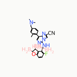 BC1Oc2ccc(F)c(C(B)(B)Nc3ncc(-c4ccc(CN(C)C)cc4C)c4nc(C#N)cn34)c2C1B